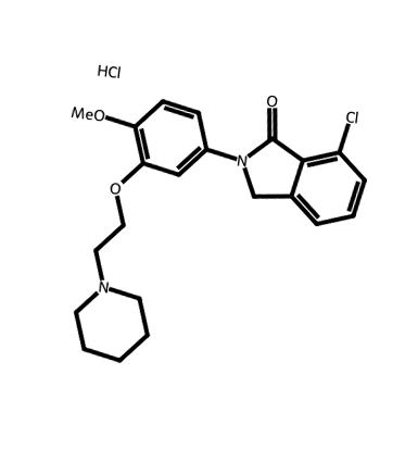 COc1ccc(N2Cc3cccc(Cl)c3C2=O)cc1OCCN1CCCCC1.Cl